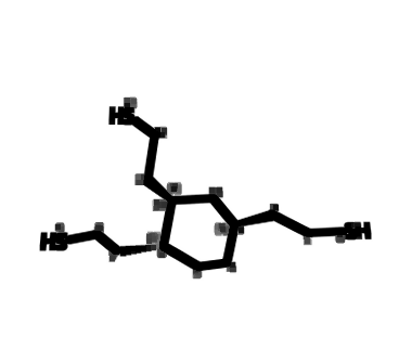 SCC[C@H]1CC[C@H](CCS)[C@@H](CCS)C1